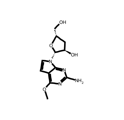 COc1nc(N)nc2c1ccn2[C@@H]1O[C@H](CO)C[C@H]1O